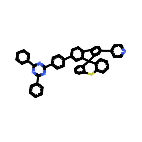 c1ccc(-c2nc(-c3ccccc3)nc(-c3ccc(-c4ccc5c(c4)C4(c6ccccc6Sc6ccccc64)c4cc(-c6ccncc6)ccc4-5)cc3)n2)cc1